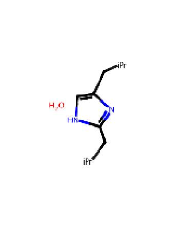 CC(C)Cc1c[nH]c(CC(C)C)n1.O